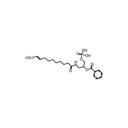 CCCCCCCCC=CCCCCCCCC(=O)NCC(COP(=O)(O)O)OC(=O)c1ccccc1